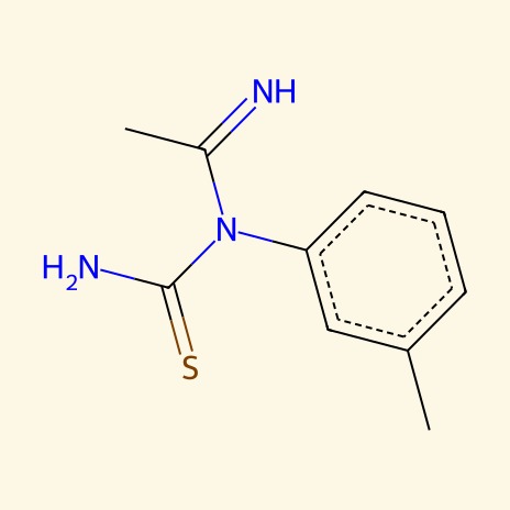 CC(=N)N(C(N)=S)c1cccc(C)c1